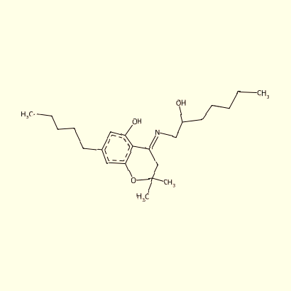 CCCCCc1cc(O)c2c(c1)OC(C)(C)CC2=NCC(O)CCCCC